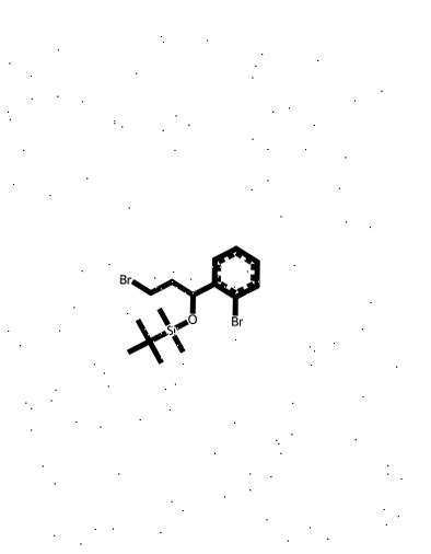 CC(C)(C)[Si](C)(C)OC(CCBr)c1ccccc1Br